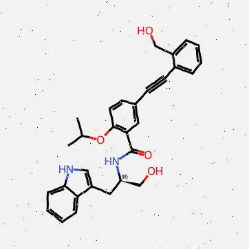 CC(C)Oc1ccc(C#Cc2ccccc2CO)cc1C(=O)N[C@@H](CO)Cc1c[nH]c2ccccc12